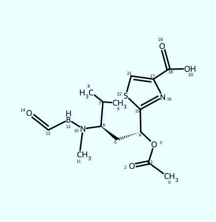 CC(=O)O[C@H](C[C@H](C(C)C)N(C)BC=O)c1nc(C(=O)O)cs1